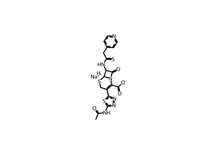 CC(=O)Nc1nnc(C2=C(C(=O)[O-])N3C(=O)C(NC(=S)Cc4ccncc4)[C@@H]3SC2)s1.[Na+]